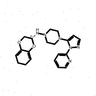 C1=C2OC[C@H](NN3CCN(c4ccnn4-c4ccccn4)CC3)OC2=CCC1